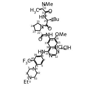 CCN1CCN(c2ccc(Nc3ncnc4cc(OC)c(NC(=O)[C@@H]5CCCN5C(=O)[C@@H](NC(=O)[C@H](C)NC)C(C)(C)C)cc34)cc2C(F)(F)F)CC1.Cl.Cl